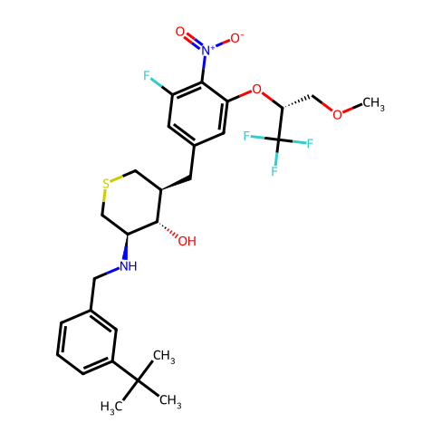 COC[C@@H](Oc1cc(C[C@@H]2CSC[C@H](NCc3cccc(C(C)(C)C)c3)[C@H]2O)cc(F)c1[N+](=O)[O-])C(F)(F)F